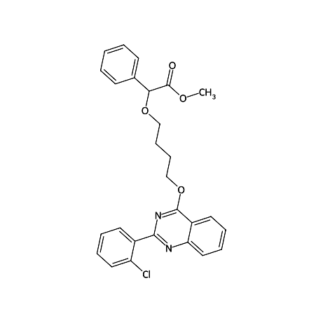 COC(=O)C(OCCCCOc1nc(-c2ccccc2Cl)nc2ccccc12)c1ccccc1